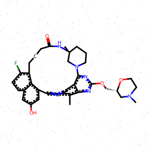 Cc1c2ncc3c(nc(OC[C@H]4CN(C)CCO4)nc13)N1CCC[C@](C)(C1)NC(=O)CCCc1c(F)ccc3cc(O)cc-2c13